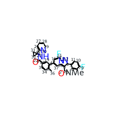 CNC(=O)c1c(-c2ccc(F)cc2)nn2c(F)cc(-c3cc(C(=O)NC4(c5ccccn5)CC4)ccc3C)cc12